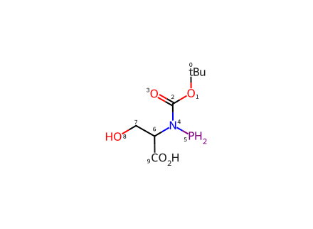 CC(C)(C)OC(=O)N(P)C(CO)C(=O)O